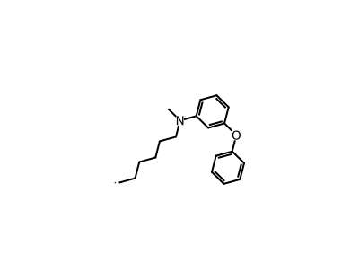 [CH2]CCCCCN(C)c1cccc(Oc2ccccc2)c1